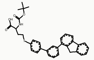 CC(C)(C)OC(=O)NC(CCSc1ccc(-c2cccc(-c3cccc4c3Cc3ccccc3-4)c2)cc1)C(=O)O